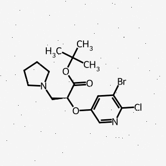 CC(C)(C)OC(=O)[C@H](CN1CCCC1)Oc1cnc(Cl)c(Br)c1